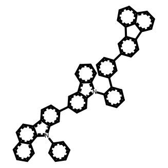 c1ccc(-n2c3cc(-c4ccc5c(c4)c4ccccc4n5-c4ccccc4-c4cccc(-c5ccc6c(c5)-c5cccc7cccc-6c57)c4)ccc3c3ccc4ccccc4c32)cc1